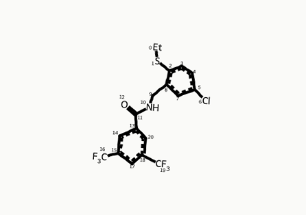 CCSc1ccc(Cl)cc1CNC(=O)c1cc(C(F)(F)F)cc(C(F)(F)F)c1